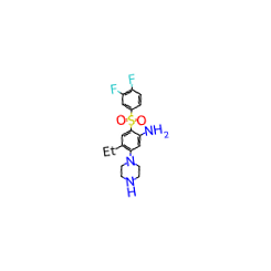 CCc1cc(S(=O)(=O)c2ccc(F)c(F)c2)c(N)cc1N1CCNCC1